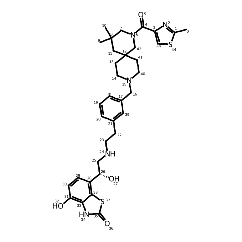 Cc1nc(C(=O)N2CC(C)(C)CC3(CCN(Cc4cccc(CCNC[C@H](O)c5ccc(O)c6[nH]c(=O)sc56)c4)CC3)C2)cs1